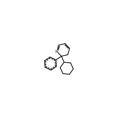 C1=CCC(c2ccccc2)(C2CCCCC2)N=C1